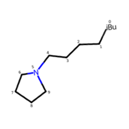 CCC(C)CCCCN1CCCC1